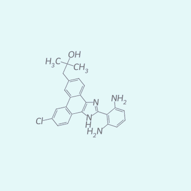 CC(C)(O)Cc1ccc2c(c1)c1cc(Cl)ccc1c1[nH]c(-c3c(N)cccc3N)nc21